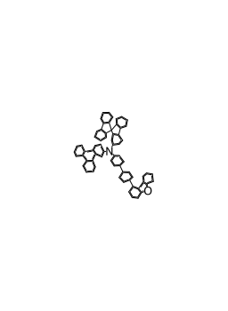 c1ccc2c(c1)-c1ccccc1C21c2ccccc2-c2ccc(N(c3ccc(-c4ccc(-c5cccc6oc7ccccc7c56)cc4)cc3)c3ccc4c5ccccc5c5ccccc5c4c3)cc21